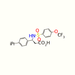 CC(C)c1ccc([C@H](CC(=O)O)NS(=O)(=O)c2ccc(OC(F)(F)F)cc2)cc1